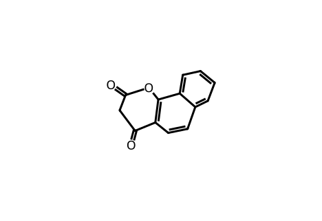 O=C1CC(=O)c2ccc3ccccc3c2O1